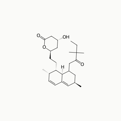 CCC(C)(C)C(=O)CC1C[C@@H](C)C=C2C=C[C@H](C)[C@H](CC[C@@H]3C[C@@H](O)CC(=O)O3)[C@H]21